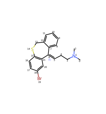 CN(C)CC/C=C1\c2ccccc2CSc2ccc(Br)cc21